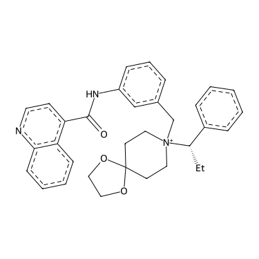 CC[C@@H](c1ccccc1)[N+]1(Cc2cccc(NC(=O)c3ccnc4ccccc34)c2)CCC2(CC1)OCCO2